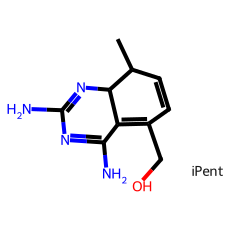 CCC[C@H](C)C(O)C1=C2C(N)=NC(N)=NC2C(C)C=C1